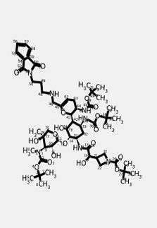 CN(C(=O)OC(C)(C)C)[C@@H]1[C@@H](O)[C@@H](O[C@H]2[C@H](NC(=O)C(O)C3CN(C(=O)OC(C)(C)C)C3)C[C@H](NC(=O)OC(C)(C)C)C([C@H]3OC(CNCCCN4C(=O)c5ccccc5C4=O)=CC[C@H]3NC(=O)OC(C)(C)C)[C@@H]2O)OC[C@]1(C)O